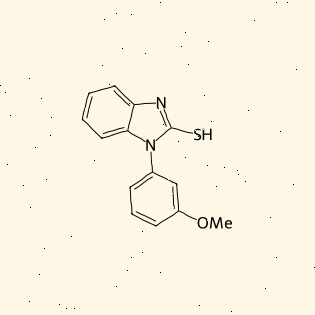 COc1cccc(-n2c(S)nc3ccccc32)c1